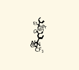 C=C/C(=C\C(=C/C)c1noc(C(F)(F)F)n1)C(=O)NCC(CC)(CCC)/C(C=C)=C/C